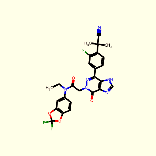 CCN(C(=O)Cn1nc(-c2ccc(C(C)(C)C#N)c(F)c2)c2[nH]cnc2c1=O)c1ccc2c(c1)OC(F)(F)O2